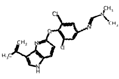 C=C(C)c1c[nH]c2ccc(Oc3c(Cl)cc(/N=C/N(C)C)cc3Cl)nc12